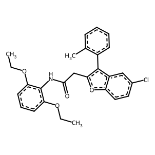 CCOc1cccc(OCC)c1NC(=O)Cc1oc2ccc(Cl)cc2c1-c1ccccc1C